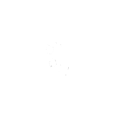 CC(=O)Nc1cc(-c2cnc(C)c(N3CC=CS3(O)O)c2)ccn1